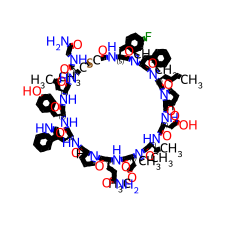 CCCC[C@H]1C(=O)N2CCC[C@@H]2C(=O)N[C@@H](CC(=O)O)C(=O)N[C@@H](C(C)C)C(=O)N(C)[C@@H](CCOC)C(=O)N[C@@H](CCC(N)=O)C(=O)N2CCC[C@@H]2C(=O)N[C@@H](Cc2c[nH]c3ccccc23)C(=O)N[C@@H](Cc2ccc(O)cc2)C(=O)N[C@@H](CC(C)C)C(=O)N[C@H](C(=O)NCC(N)=O)CSCC(=O)N[C@@H](Cc2ccc(F)cc2)C(=O)N(C)C(Cc2ccccc2)C(=O)N1C